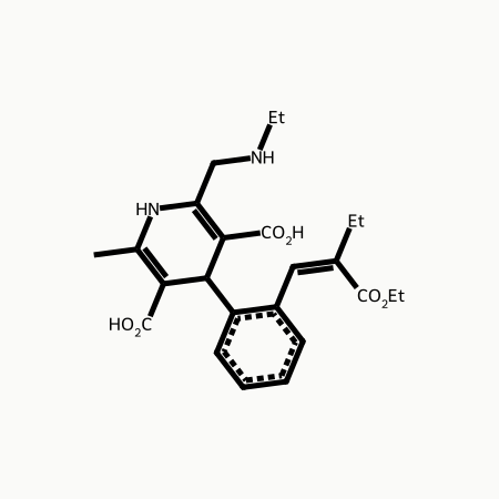 CCNCC1=C(C(=O)O)C(c2ccccc2C=C(CC)C(=O)OCC)C(C(=O)O)=C(C)N1